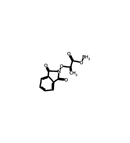 BOC(=O)C(=C)ON1C(=O)c2ccccc2C1=O